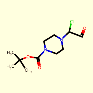 CC(C)(C)OC(=O)N1CCN(C(Cl)C=O)CC1